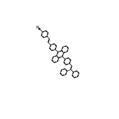 N#Cc1ccc(/C=C/c2ccc(-c3c4ccccc4c(-c4ccc(C=C(c5ccccc5)c5ccccc5)cc4)c4ccccc34)cc2)cc1